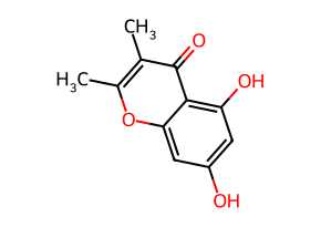 Cc1oc2cc(O)cc(O)c2c(=O)c1C